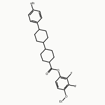 CCCc1ccc(C2CCC(C3CCC(C(=O)Oc4ccc(OCC)c(F)c4F)CC3)CC2)cc1